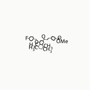 COC(=O)c1ccc(C=CC(=O)c2cc(OCc3ccc(F)cc3)c3c(c2)C(C)(C)CCC3(C)C)cc1